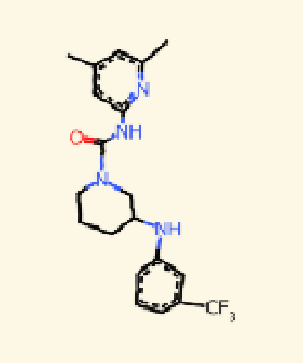 Cc1cc(C)nc(NC(=O)N2CCCC(Nc3cccc(C(F)(F)F)c3)C2)c1